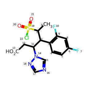 CC(C(c1ccc(F)cc1F)C(CC(=O)O)n1cncn1)S(=O)(=O)Cl